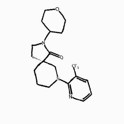 O=C1N(C2CCOCC2)CC[C@]12CCCN(c1ncccc1C(F)(F)F)C2